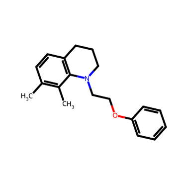 Cc1ccc2c(c1C)N(CCOc1ccccc1)CCC2